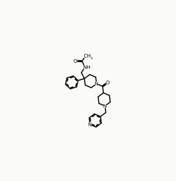 CC(=O)NCC1(c2ccccc2)CCN(C(=O)C2CCN(Cc3ccncc3)CC2)CC1